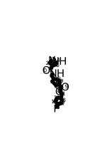 O=C(NCC1CCN(C(=O)OCc2ccc(F)cc2)CC1)c1cn[nH]c1